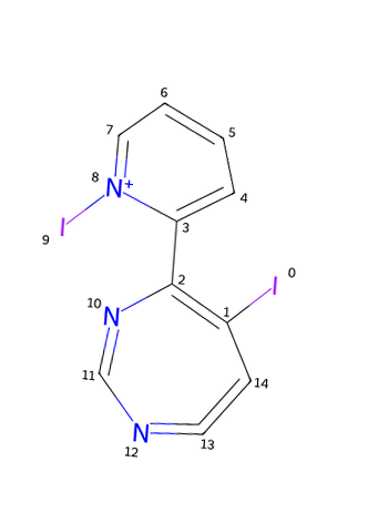 IC1=C(c2cccc[n+]2I)N=CN=C=C1